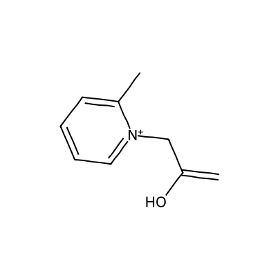 C=C(O)C[n+]1ccccc1C